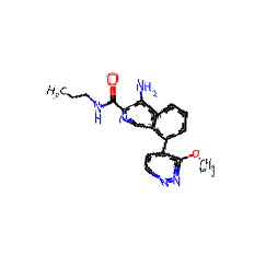 CCCNC(=O)c1ncc2c(-c3ccnnc3OC)cccc2c1N